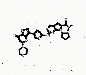 CN(C)C(=O)c1cc2cnc(Nc3ccc(-c4csc5c(=O)cc(N6CCOCC6)oc45)cn3)nc2n1C1CCCC1